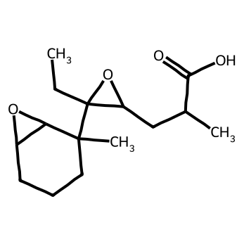 CCC1(C2(C)CCCC3OC32)OC1CC(C)C(=O)O